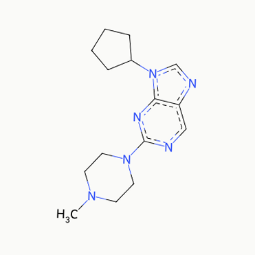 CN1CCN(c2ncc3ncn(C4CCCC4)c3n2)CC1